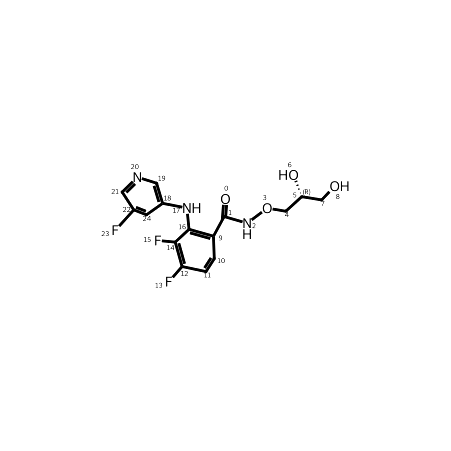 O=C(NOC[C@H](O)CO)c1ccc(F)c(F)c1Nc1cncc(F)c1